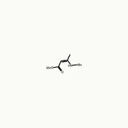 COC(=O)/C=C(/C)NC(C)(C)C